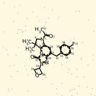 CC(=O)N1CC(C)(C)c2c1cc(Cc1ccc(F)cc1)c1nn(C3COC3)c(=O)n21